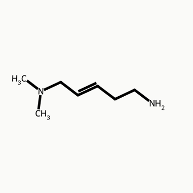 CN(C)CC=CCCN